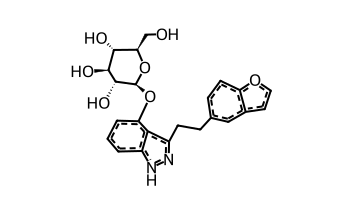 OC[C@H]1O[C@@H](Oc2cccc3[nH]nc(CCc4ccc5occc5c4)c23)[C@H](O)[C@@H](O)[C@@H]1O